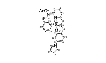 CC(=O)ON(c1cccc(CN(Cc2ccc(-n3cccn3)cc2)S(=O)(=O)c2cccnc2)n1)C(C)C